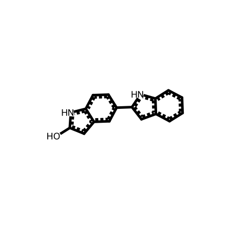 Oc1cc2cc(-c3cc4ccccc4[nH]3)ccc2[nH]1